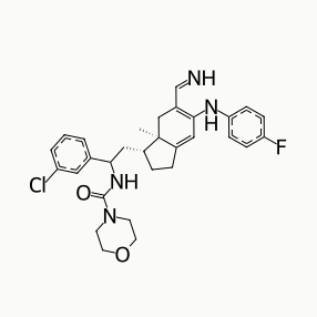 C[C@]12CC(C=N)=C(Nc3ccc(F)cc3)C=C1CC[C@@H]2CC(NC(=O)N1CCOCC1)c1cccc(Cl)c1